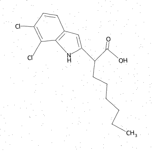 CCCCCCC(C(=O)O)c1cc2ccc(Cl)c(Cl)c2[nH]1